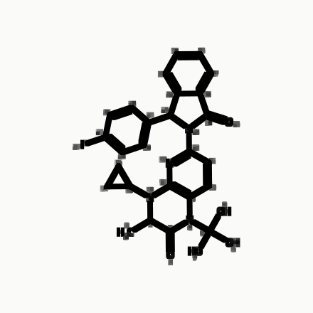 CC1C(=O)N(C(O)(O)O)c2ccc(N3C(=O)c4ccccc4C3c3ccc(F)cc3)nc2N1C1CC1